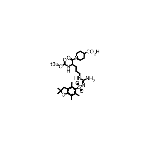 Cc1c(C)c(S(=O)(=O)/N=C(/N)NCCCC(NC(=O)OC(C)(C)C)C(=O)N2CCC(C(=O)O)CC2)c(C)c2c1OC(C)(C)C2